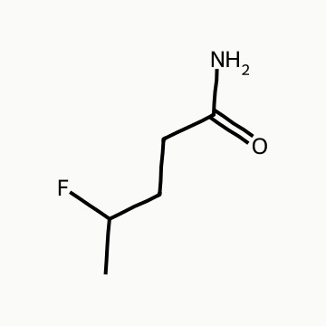 CC(F)CCC(N)=O